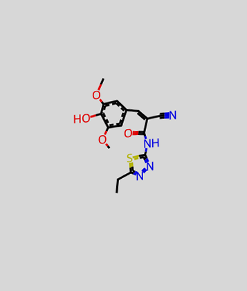 CCc1nnc(NC(=O)C(C#N)=Cc2cc(OC)c(O)c(OC)c2)s1